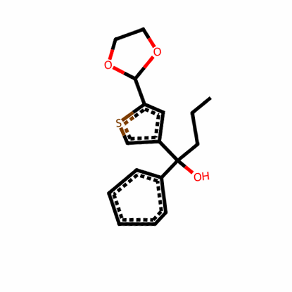 CCCC(O)(c1ccccc1)c1csc(C2OCCO2)c1